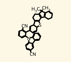 CC1(C)C2=C(CCC=C2)C2=C1CCC1=C2SC2C=CC(c3c(C#N)cccc3-n3c4ccccc4c4cc(C#N)ccc43)=CC12